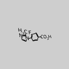 Cc1nccn1-c1ccc(C(=O)O)cc1F